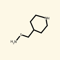 NSCC1CCNCC1